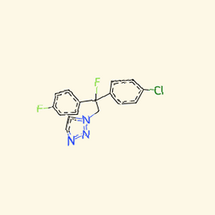 Fc1ccc(C(F)(Cn2ccnn2)c2ccc(Cl)cc2)cc1